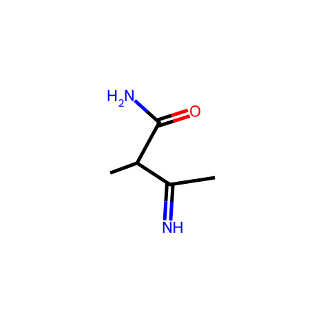 CC(=N)C(C)C(N)=O